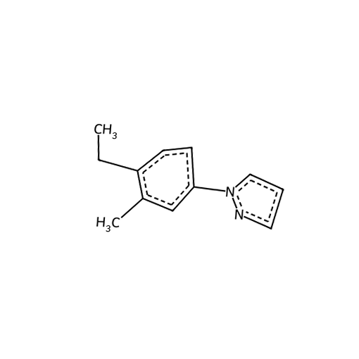 CCc1ccc(-n2cccn2)cc1C